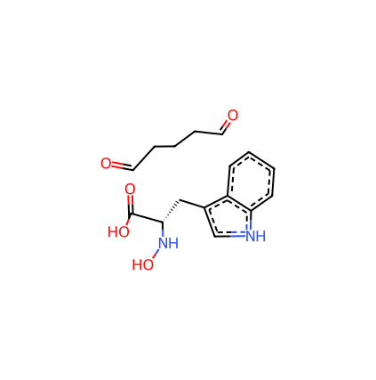 O=C(O)[C@H](Cc1c[nH]c2ccccc12)NO.O=CCCCC=O